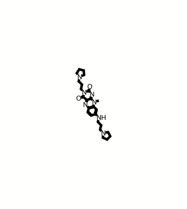 Cn1c2nc(=O)n(CCCN3CCCC3)c(=O)c-2nc2ccc(NCCCN3CCCC3)cc21